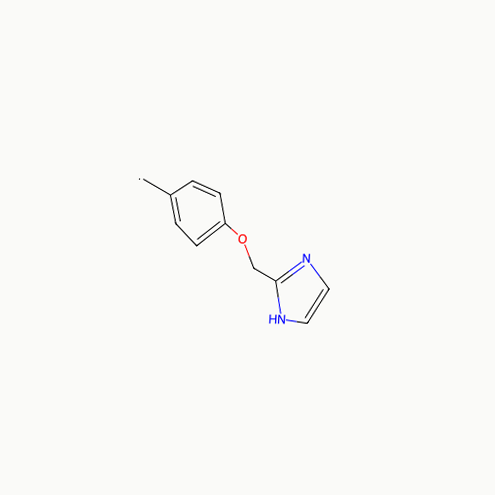 [CH2]c1ccc(OCc2ncc[nH]2)cc1